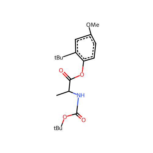 COc1ccc(OC(=O)C(C)NC(=O)OC(C)(C)C)c(C(C)(C)C)c1